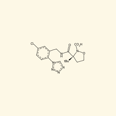 CC(C)(C)[C@]1(C(=O)NCc2cc(Cl)ccc2-n2cnnn2)CCON1C(=O)O